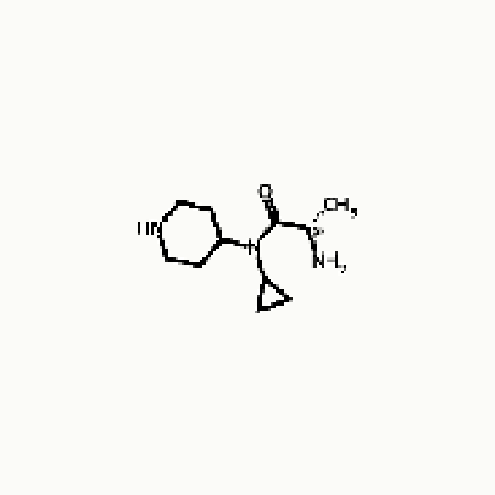 C[C@H](N)C(=O)N(C1CCNCC1)C1CC1